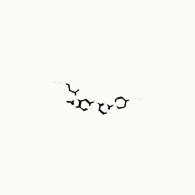 COCCC(C)n1c(C)nc2cnc(Nc3ccnc(N4CCC(OC)CC4)n3)cc21